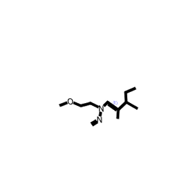 C=NN(/C=C(\C)C(C)CC)CCOC